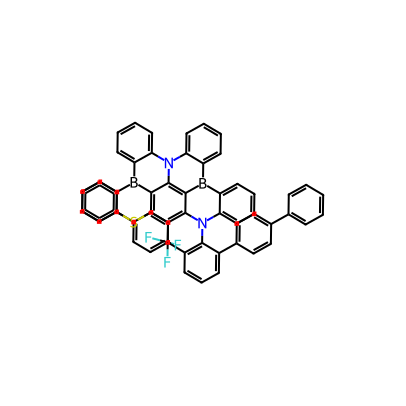 FC(F)(F)c1c2c3c4c5c1N(c1c(-c6ccc(-c7ccccc7)cc6)cccc1-c1ccc(-c6ccccc6)cc1)c1ccccc1B5c1ccccc1N4c1ccccc1B3c1ccccc1S2